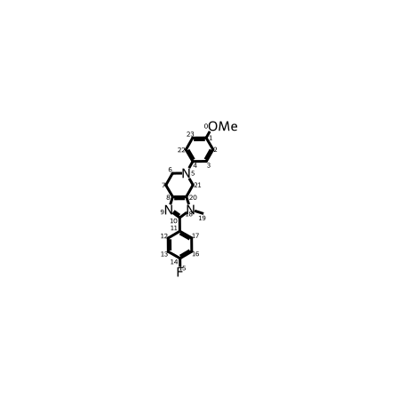 COc1ccc(N2CCc3nc(-c4ccc(F)cc4)n(C)c3C2)cc1